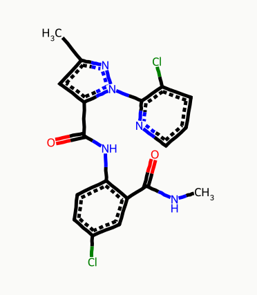 CNC(=O)c1cc(Cl)ccc1NC(=O)c1cc(C)nn1-c1ncccc1Cl